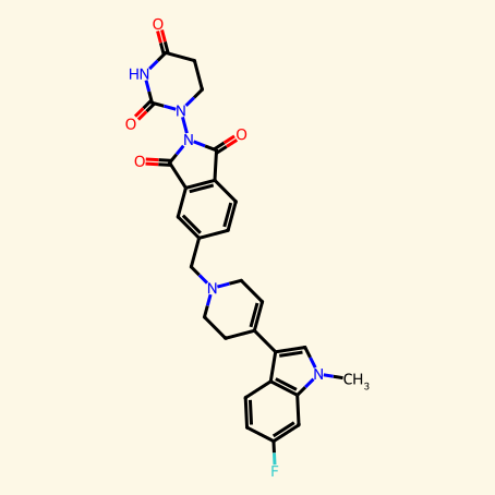 Cn1cc(C2=CCN(Cc3ccc4c(c3)C(=O)N(N3CCC(=O)NC3=O)C4=O)CC2)c2ccc(F)cc21